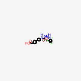 O=C(O)CC1CCC(c2ccc(NC(=O)c3nnc(Nc4c(F)cc(F)cc4F)o3)cc2)CC1